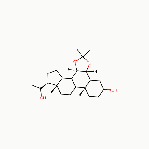 CC(O)[C@H]1CCC2C3C(CC[C@@]21C)[C@@]1(C)CC[C@H](O)CC1[C@H]1OC(C)(C)O[C@H]31